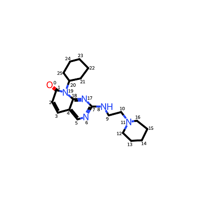 O=c1ccc2cnc(NCCN3CCCCC3)nc2n1C1CCCCC1